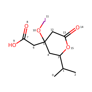 CC(C)C1CC(CC(=O)O)(OI)CC(=O)O1